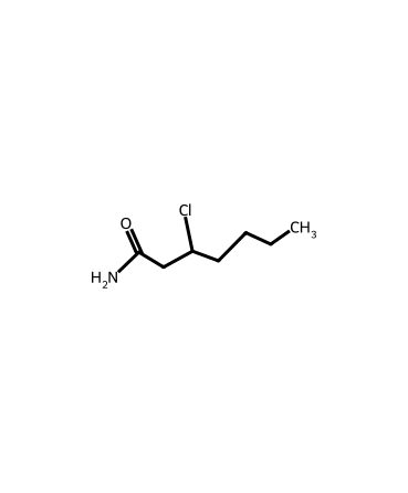 CCCCC(Cl)CC(N)=O